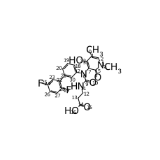 Cc1cn(C)c(=O)c(N(C(=O)NCCC(=O)O)c2cccc(-c3cc(F)ccc3F)c2)c1O